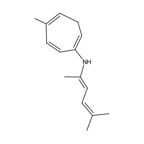 CC(C)=C/C=C(\C)NC1=CCC=C(C)C=C1